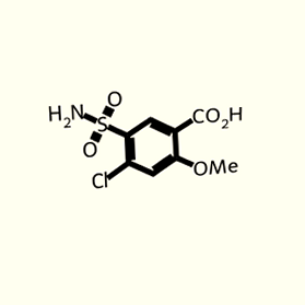 COc1cc(Cl)c(S(N)(=O)=O)cc1C(=O)O